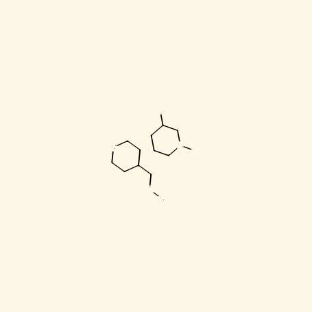 CN1CCCC(C(=O)O)C1.O=[N+]([O-])OCC1CCNCC1